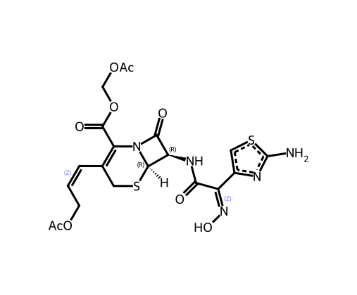 CC(=O)OC/C=C\C1=C(C(=O)OCOC(C)=O)N2C(=O)[C@@H](NC(=O)/C(=N\O)c3csc(N)n3)[C@H]2SC1